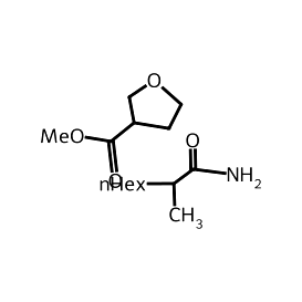 CCCCCCC(C)C(N)=O.COC(=O)C1CCOC1